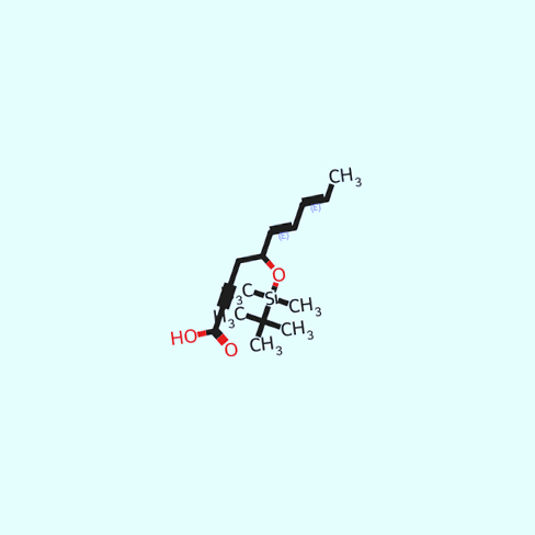 C/C=C/C=C/C(CC#CC(=O)O)O[Si](C)(C)C(C)(C)C